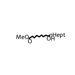 CCCCCCCC(O)CCCCCCCC(=O)OC